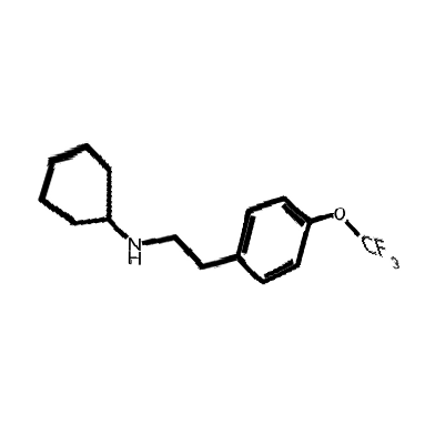 FC(F)(F)Oc1ccc(CCNC2CCCCC2)cc1